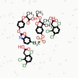 CC(Oc1ccc(Oc2nc3ccc(Cl)cc3o2)cc1)C(=O)O.CCOC1Oc2ccc(OS(C)(=O)=O)cc2C1(C)C.O=C(O)Cc1c(Cl)ccc(Cl)c1Cl.O=C(O)Cc1c(Cl)ccc(Cl)c1Cl